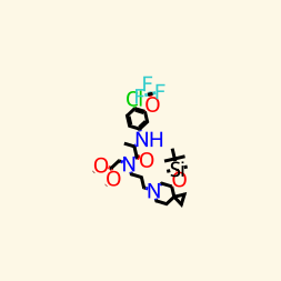 COC(CN(CCCN1CCC2(CC2)C(O[Si](C)(C)C(C)(C)C)C1)C(=O)C(C)Nc1ccc(Cl)c(OC(F)(F)F)c1)OC